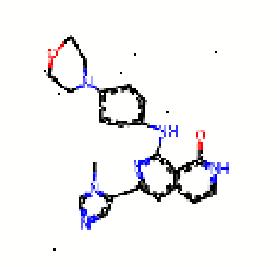 Cn1cncc1-c1cc2cc[nH]c(=O)c2c(Nc2ccc(N3CCOCC3)cc2)n1